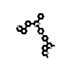 Cc1ccc2ccc3c(-c4ccc([C@@H]5C=CC(c6nc(-c7ccccc7)cc(-c7cccc(-c8cccc9ccncc89)c7)n6)=CC5)cc4)cc(C)nc3c2n1